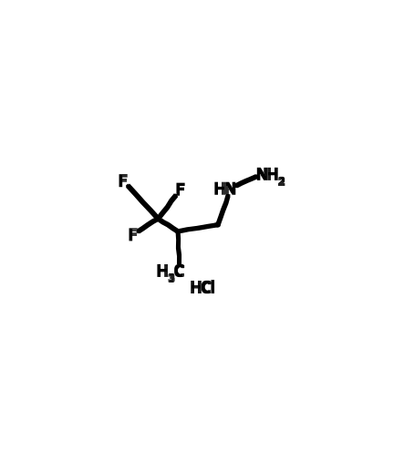 CC(CNN)C(F)(F)F.Cl